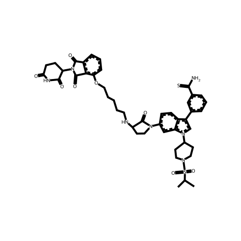 CC(C)S(=O)(=O)N1CCC(n2cc(-c3cccc(C(N)=S)c3)c3ccc(N4CCC(NCCCCCOc5cccc6c5C(=O)N(C5CCC(=O)NC5=O)C6=O)C4=O)cc32)CC1